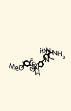 COc1ccc(F)c(S(=O)(=O)Nc2ccc(-c3cc4[nH]nc(N)c4c(C)n3)cc2)c1